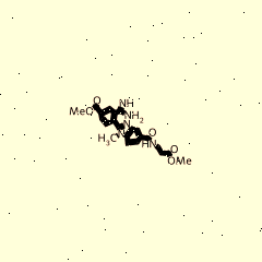 COC(=O)CCNC(=O)c1ccc2c(c1)nc(-c1ccc(C(=O)OC)cc1C(=N)N)n2C